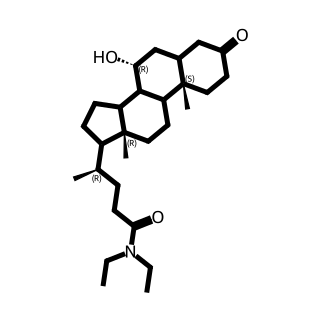 CCN(CC)C(=O)CC[C@@H](C)C1CCC2C3C(CC[C@@]21C)[C@@]1(C)CCC(=O)CC1C[C@H]3O